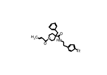 CC=CC(=O)N1CCC(Cc2ccccc2)(C(=O)NCCc2ccc(CC)cc2)CC1